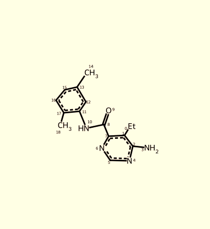 CCc1c(N)ncnc1C(=O)Nc1cc(C)ccc1C